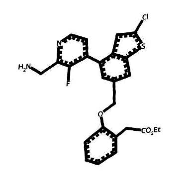 CCOC(=O)Cc1ccccc1OCc1cc(-c2ccnc(CN)c2F)c2cc(Cl)sc2c1